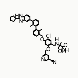 Cc1c(COc2cc(OCc3cncc(C#N)c3)c(CNC(C)(CO)C(=O)O)cc2Cl)cccc1-c1cccc(-c2ccc3[nH]c(C4CCCC4)nc3c2)c1C